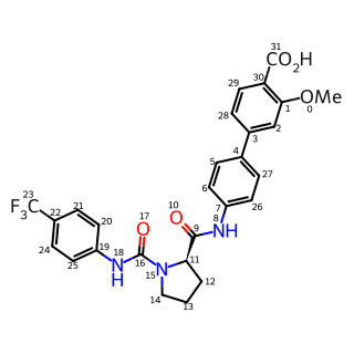 COc1cc(-c2ccc(NC(=O)[C@H]3CCCN3C(=O)Nc3ccc(C(F)(F)F)cc3)cc2)ccc1C(=O)O